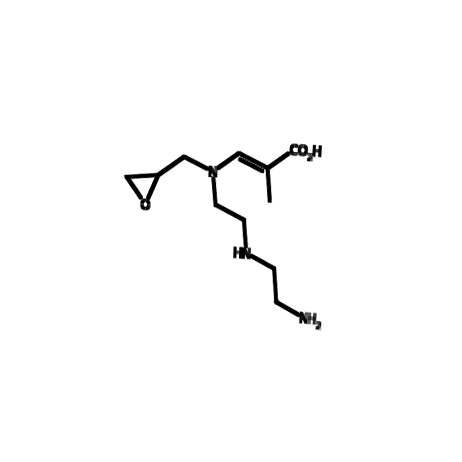 CC(=CN(CCNCCN)CC1CO1)C(=O)O